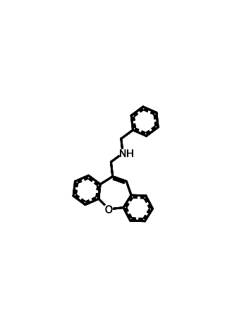 C1=C(CNCc2ccccc2)c2ccccc2Oc2ccccc21